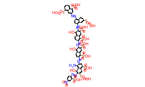 Nc1c(N=Nc2ccc3c(O)c(N=Nc4ccc5c(O)c(N=Nc6ccc(N=Nc7cc(S(=O)(=O)O)c8cccc(SOOO)c8c7)c7ccc(SOOO)cc67)c(S(=O)(=O)O)cc5c4S(=O)(=O)O)c(S(=O)(=O)O)cc3c2S(=O)(=O)O)cc(S(=O)(=O)O)c2cc(SOOO)c(N=Nc3ccc([N+](=O)[O-])cc3S(=O)(=O)O)c(O)c12